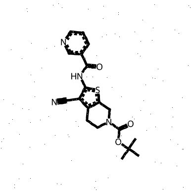 CC(C)(C)OC(=O)N1CCc2c(sc(NC(=O)c3cccnc3)c2C#N)C1